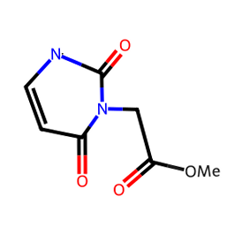 COC(=O)CN1C(=O)C=C[N]C1=O